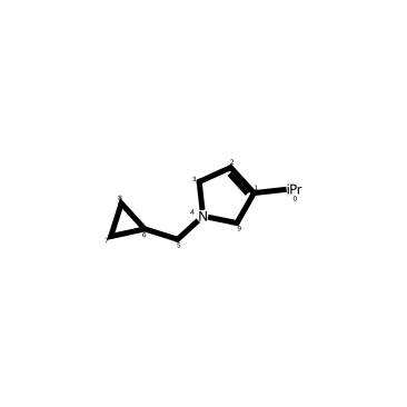 CC(C)C1=CCN(CC2CC2)C1